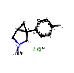 CCCN1CC2CC2(c2ccc(C)cc2)C1.Cl